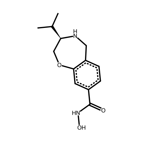 CC(C)[C@@H]1COc2cc(C(=O)NO)ccc2CN1